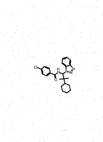 CC(C)(C1CCCCC1)C(NC(=O)c1ccc(Cl)cc1)n1nnc2ccccc21